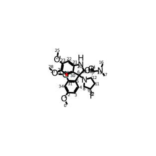 COc1ccc(C2(N3C[C@H](F)C[C@H]3C(=O)N(C)C)C(=O)Nc3cc(OC)c(OC)cc32)c(OC)c1